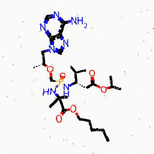 CCCCCOC(=O)C(C)(C)N[P@@](=O)(CO[C@H](C)Cn1cnc2c(N)ncnc21)N[C@@H](CC(=O)OC(C)C)C(C)C